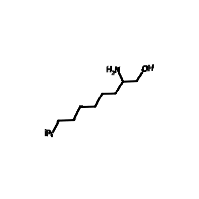 CC(C)CCCCCCC(N)CO